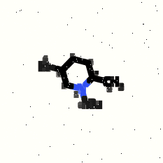 CCCCN1CC(CC)CCC1C